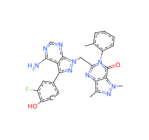 Cc1ccccc1-n1c(Cn2nc(-c3ccc(O)c(F)c3)c3c(N)ncnc32)nc2c(C)nn(C)c2c1=O